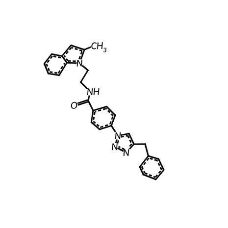 Cc1cc2ccccc2n1CCNC(=O)c1ccc(-n2cc(Cc3ccccc3)nn2)cc1